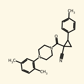 Cc1ccc(C2CC2(C#N)C(=O)N2CCN(c3cc(C)ccc3C)CC2)cc1